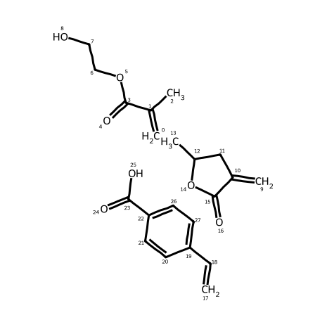 C=C(C)C(=O)OCCO.C=C1CC(C)OC1=O.C=Cc1ccc(C(=O)O)cc1